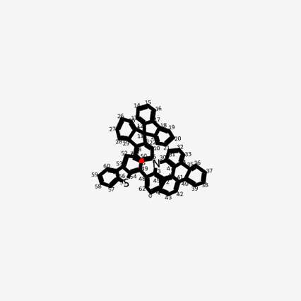 c1ccc(N(c2ccc3c(c2)C2(c4ccccc4-c4ccccc42)c2ccccc2-3)c2cccc3c4ccccc4c4ccccc4c23)c(-c2cccc3c2sc2ccccc23)c1